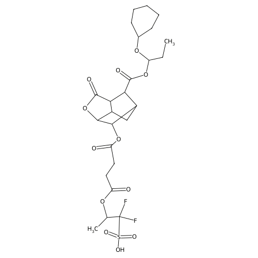 CCC(OC(=O)C1C2CC3C(OC(=O)C31)C2OC(=O)CCC(=O)OC(C)C(F)(F)S(=O)(=O)O)OC1CCCCC1